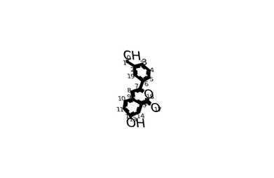 CCc1cccc(-c2cc3ccc(O)cc3c(=O)o2)c1